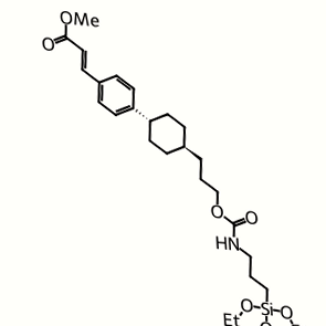 CCO[Si](CCCNC(=O)OCCC[C@H]1CC[C@H](c2ccc(C=CC(=O)OC)cc2)CC1)(OCC)OCC